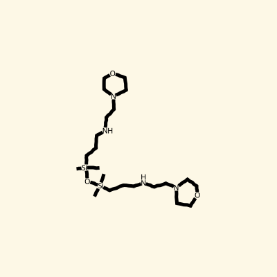 C[Si](C)(CCCNCCN1CCOCC1)O[Si](C)(C)CCCNCCN1CCOCC1